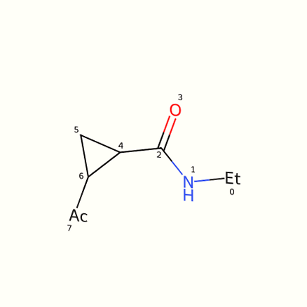 CCNC(=O)C1CC1C(C)=O